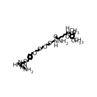 CC(NCCCCC(N)C(=O)NCCOCCOCCOCCOCc1ccc(COc2nc(N)nc3[nH]cnc23)cc1)=C1C(=O)CC(C)(C)CC1=O